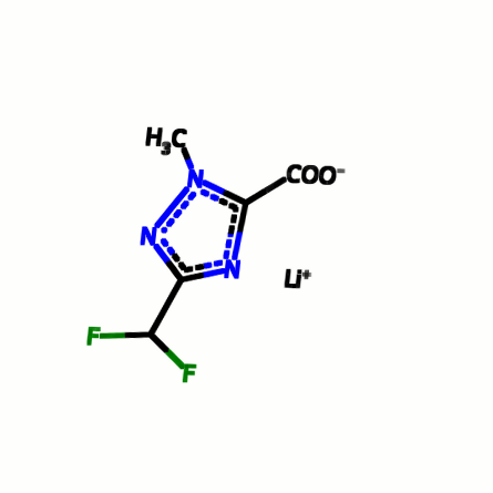 Cn1nc(C(F)F)nc1C(=O)[O-].[Li+]